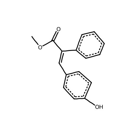 COC(=O)/C(=C/c1ccc(O)cc1)c1ccccc1